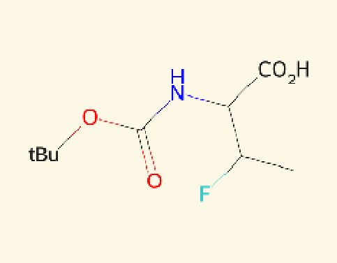 CC(F)C(NC(=O)OC(C)(C)C)C(=O)O